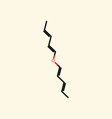 C/C=C/C=C/O/C=C/C=C/C